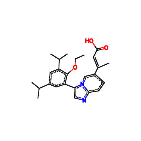 CCOc1c(-c2cnc3ccc(C(C)=CC(=O)O)cn23)cc(C(C)C)cc1C(C)C